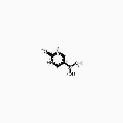 O=c1ncc(B(O)O)c[nH]1